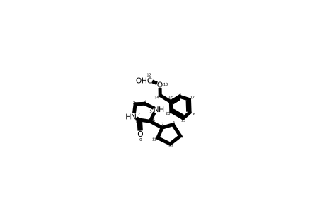 O=C1NCCNC1C1CCCC1.O=COCc1ccccc1